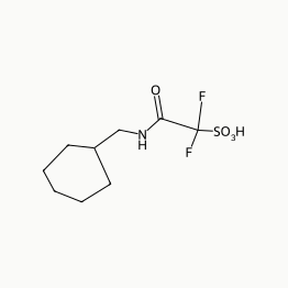 O=C(NCC1CCCCC1)C(F)(F)S(=O)(=O)O